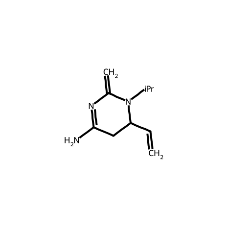 C=CC1CC(N)=NC(=C)N1C(C)C